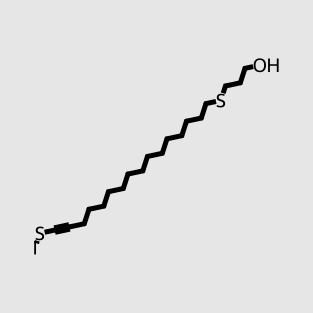 OCCCSCCCCCCCCCCCCCCC#CSI